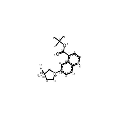 CC(C)(C)OC(=O)c1ccnc2ccc(N3CC[C@@](C)(F)C3)cc12